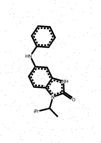 CC(C)C(C)n1c(=O)[nH]c2cc(Nc3ccccc3)ccc21